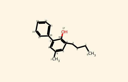 CCCCc1cc(C)cc(-c2ccccc2)c1O